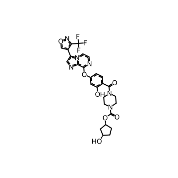 O=C(O[C@H]1CC[C@@H](O)C1)N1CCN(C(=O)c2ccc(Oc3nccn4c(-c5conc5C(F)(F)F)cnc34)cc2O)CC1